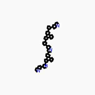 c1cc(-c2ccc3ncccc3c2)cc(-c2ccc3c4ccc(-c5cccc(-c6ccc7ncc(-c8ccc9c%10ccc(-c%11cc(-c%12ccc%13cccnc%13c%12)ccn%11)cc%10c%10ccccc%10c9c8)cc7c6)c5)cc4c4ccccc4c3c2)c1